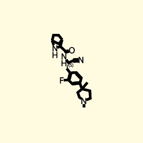 CN1CCC(C)(c2ccc(C[C@@H](C#N)NC(=O)C3NC4CCC3C4)c(F)c2)CC1